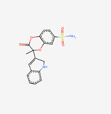 CC1(C2=Cc3ccccc3NC2)Oc2cc(S(N)(=O)=O)ccc2OC1=O